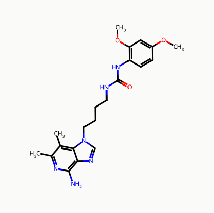 COc1ccc(NC(=O)NCCCCn2cnc3c(N)nc(C)c(C)c32)c(OC)c1